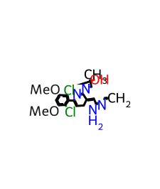 C=C/N=C(N)\C=C1/CC=C(c2c(Cl)c(OC)cc(OC)c2Cl)N=C1N1CC(C)(O)C1